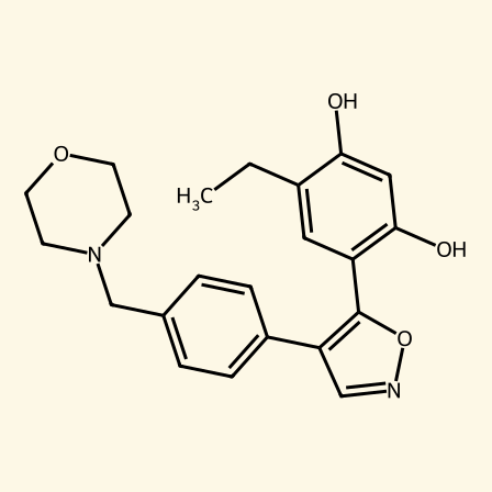 CCc1cc(-c2oncc2-c2ccc(CN3CCOCC3)cc2)c(O)cc1O